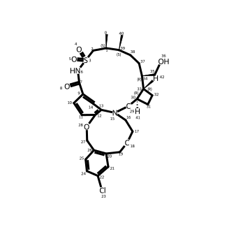 C[C@@H]1CS(=O)(=O)NC(=O)c2ccc3c(c2)N(CCCCc2cc(Cl)ccc2CO3)C[C@@H]2CC[C@H]2[C@H](CO)CC[C@@H]1C